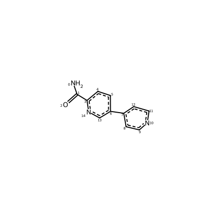 NC(=O)c1ccc(-c2ccncc2)cn1